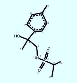 Cc1ccc(C(C)(O)CNS(=O)(=O)C(C)C)cc1